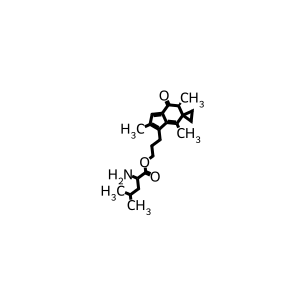 CC1=C(CCCOC(=O)C(N)CC(C)C)C2=C(C)C3(CC3)[C@H](C)C(=O)C2=C1